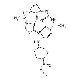 C=CC(=O)N1CCC(Nc2ccc(C(C)Nc3nc(N4C(=O)OC[C@@H]4C(C)C)c4sccc4n3)cc2)CC1